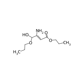 CCCOC(=O)/C=C(\N)C(O)OCCC